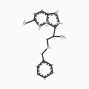 CC(COCc1ccccc1)c1nnc2ccc(Cl)nn12